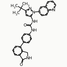 CC(C)(C)c1cc(NC(=O)Nc2ccc(-c3cccc4c3CNC4=O)cc2)n(-c2ccc3ncccc3c2)n1